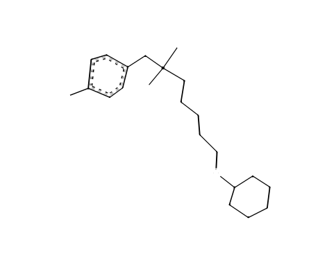 CC(C)(CCCCCOC1CCCCC1)Cc1ccc(O)cc1